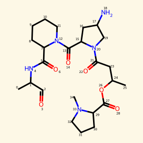 CC(C=O)NC(=O)C1CCCCN1C(=O)C1CC(N)CN1C(=O)CC(C)OC(=O)C1CCCN1C